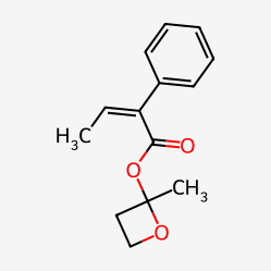 CC=C(C(=O)OC1(C)CCO1)c1ccccc1